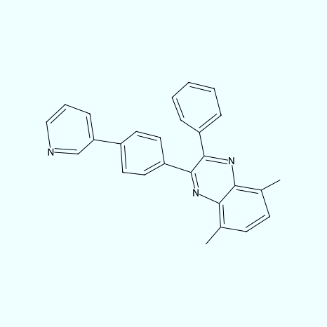 Cc1ccc(C)c2nc(-c3ccc(-c4cccnc4)cc3)c(-c3ccccc3)nc12